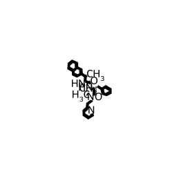 CNC(C(=O)N[C@H](Cc1ccccc1)C(=O)N(C)CCc1ccccn1)C(C)c1ccc2ccccc2c1